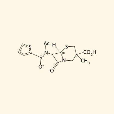 CC(=O)N(C1C(=O)N2CC(C)(C(=O)O)CS[C@H]12)[S+]([O-])c1cccs1